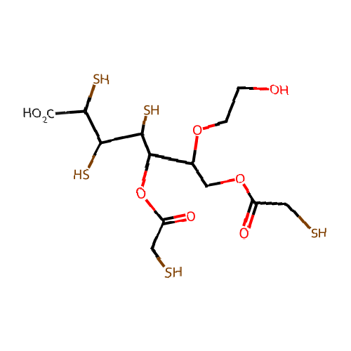 O=C(CS)OCC(OCCO)C(OC(=O)CS)C(S)C(S)C(S)C(=O)O